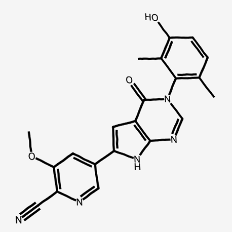 COc1cc(-c2cc3c(=O)n(-c4c(C)ccc(O)c4C)cnc3[nH]2)cnc1C#N